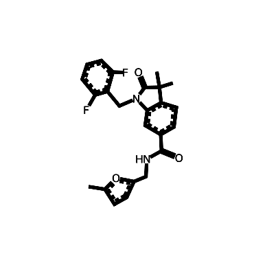 Cc1ccc(CNC(=O)c2ccc3c(c2)N(Cc2c(F)cccc2F)C(=O)C3(C)C)o1